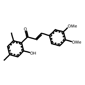 COc1ccc(/C=C/C(=O)c2c(C)cc(C)cc2O)cc1OC